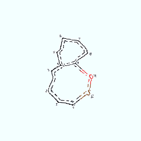 [c]1cccc2ccccc2os1